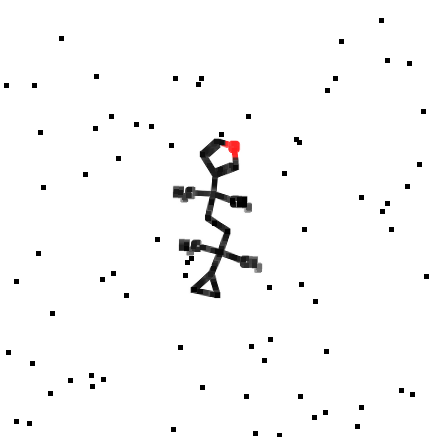 CC(C)(CCC(C)(C)C1CC1)c1ccoc1